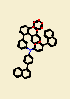 c1ccc(-c2ccccc2-c2c(-c3ccccc3)cccc2-c2cccc(N(c3ccc(-c4cccc5ccccc45)cc3)c3ccc(-c4cccc5ccccc45)cc3)c2)cc1